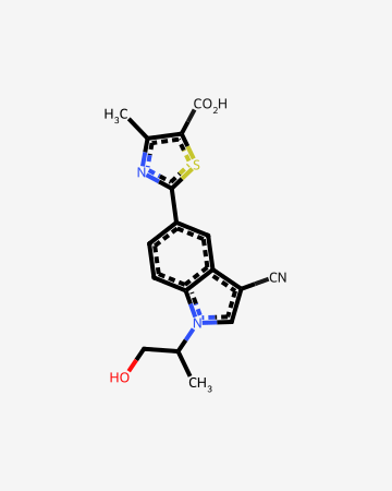 Cc1nc(-c2ccc3c(c2)c(C#N)cn3C(C)CO)sc1C(=O)O